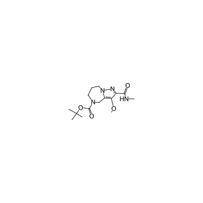 CNC(=O)c1nn2c(c1OC)CN(C(=O)OC(C)(C)C)CCC2